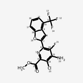 COC(=O)c1nc(-c2cc3c(C(F)(F)F)cccc3o2)c(F)c(N)c1Cl